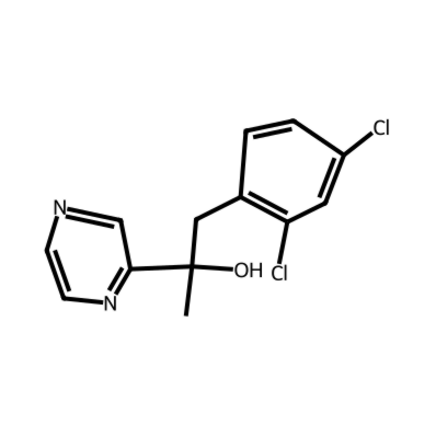 CC(O)(Cc1ccc(Cl)cc1Cl)c1cnccn1